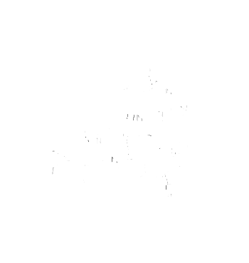 CC[C@H](Nc1nc(N)nc(C)c1C#N)c1cn2nc(C3CC3)c(Cl)c2nc1-c1cc(F)c[n+]([O-])c1